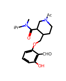 CC(=O)N1CCC(COc2cccc(O)c2C=O)C(C(=O)N(C)C(C)C)C1